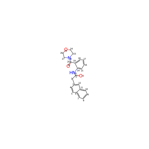 O=C(Cc1ccc2ccccc2c1)Nc1ccccc1C(=O)N1CCOCC1